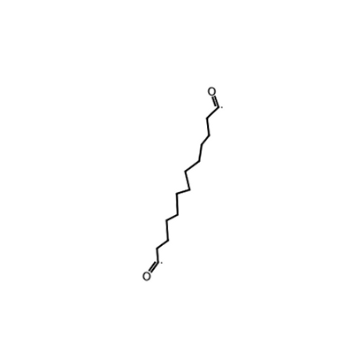 O=[C]CCCCCCCCCCC[C]=O